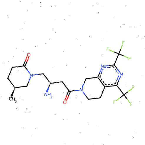 C[C@H]1CCC(=O)N(C[C@H](N)CC(=O)N2CCc3c(nc(C(F)(F)F)nc3C(F)(F)F)C2)C1